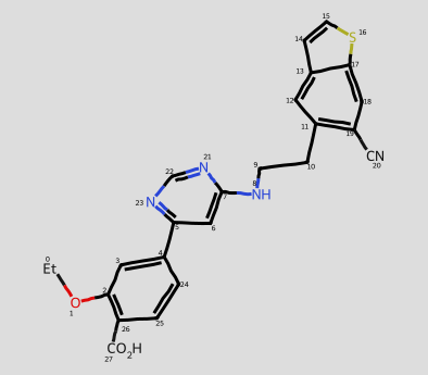 CCOc1cc(-c2cc(NCCc3cc4ccsc4cc3C#N)ncn2)ccc1C(=O)O